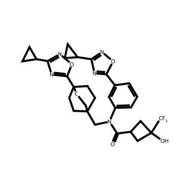 O=C(C1CC(O)(C(F)(F)F)C1)N(CC12CCC(c3nc(C4CC4)no3)(CC1)CC2)c1cccc(-c2nc(C3CC3)no2)c1